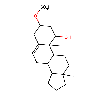 CC12CCCC1C1CC=C3CC(OS(=O)(=O)O)CC(O)C3(C)C1CC2